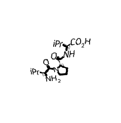 CC(C)[C@H](N)C(=O)N1CCC[C@H]1C(=O)N[C@H](C(=O)O)C(C)C